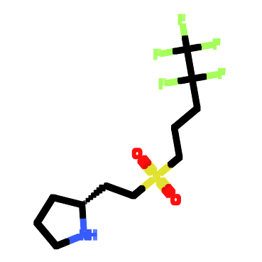 O=S(=O)(CCCC(F)(F)C(F)(F)F)CC[C@H]1CCCN1